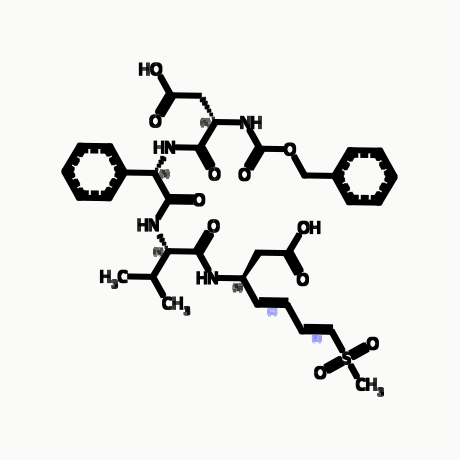 CC(C)[C@H](NC(=O)[C@@H](NC(=O)[C@H](CC(=O)O)NC(=O)OCc1ccccc1)c1ccccc1)C(=O)N[C@H](/C=C/C=C/S(C)(=O)=O)CC(=O)O